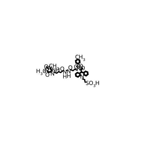 Cc1ccc(S(=O)(=O)N(CCCC(=O)NCNC(=O)CCCc2nc3c(=O)n(C)c(=O)n(C)c3[nH]2)C(=O)c2c3ccccc3[n+](CCCS(=O)(=O)O)c3ccccc23)cc1